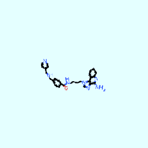 Nc1nc2ccccc2c2c1ncn2CCCCNC(=O)c1ccc(CNCc2ccncc2)cc1